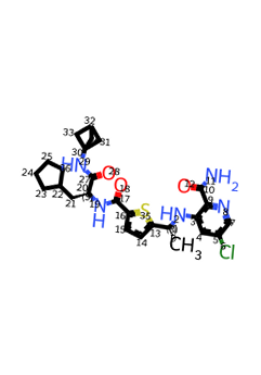 C[C@@H](Nc1cc(Cl)cnc1C(N)=O)c1ccc(C(=O)N[C@@H](CC2CCCC2)C(=O)NC23CC(C2)C3)s1